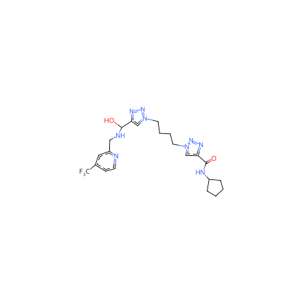 O=C(NC1CCCC1)c1cn(CCCCn2cc(C(O)NCc3cc(C(F)(F)F)ccn3)nn2)nn1